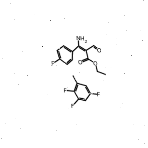 CCOC(=O)C(C=O)=C(N)c1ccc(F)cc1.Cc1cc(F)cc(F)c1F